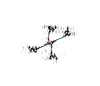 CC(=O)N[C@H]1[C@H]([C@H](OC(=O)NCCCCCCNC(=O)CN(CCN(CC(=O)NCCCCCCCCNC(=O)O[C@H](C(O)CO)[C@H]2OC(C(=O)O)=C[C@H](NC(=N)N)[C@H]2NC(C)=O)CC(=O)NCCCCNC(=O)O[C@H](C(O)CO)[C@@H]2OC(C(=O)O)=C[C@H](NC(=N)N)[C@H]2NC(C)=O)CC(=O)NCCCCCNC(=O)O[C@H](C(O)CO)[C@@H]2OC(C(=O)O)=C[C@H](NC(=N)N)[C@H]2NC(C)=O)C(O)CO)OC(C(=O)O)=C[C@@H]1NC(=N)N